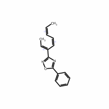 C\C=C/C=C\C(=C/C)c1noc(-c2ccccc2)n1